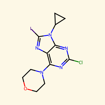 Clc1nc(N2CCOCC2)c2nc(I)n(C3CC3)c2n1